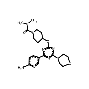 CN(C)C(=O)N1CCC(Oc2nc(-c3ccc(N)nc3)nc(N3CCOCC3)n2)CC1